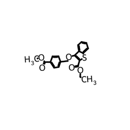 CCOC(=O)c1sc2ccccc2c1OCc1ccc(C(=O)OC)cc1